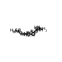 CNC(=O)CON=C1CN(c2ncc(-c3cccc(COC(=O)NC(=N)N)c3F)cn2)C1